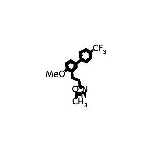 COc1ccc(-c2ccc(C(F)(F)F)cc2)cc1CCc1nnc(C)o1